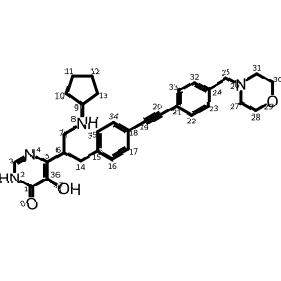 O=c1[nH]cnc(C(CNC2CCCC2)Cc2ccc(C#Cc3ccc(CN4CCOCC4)cc3)cc2)c1O